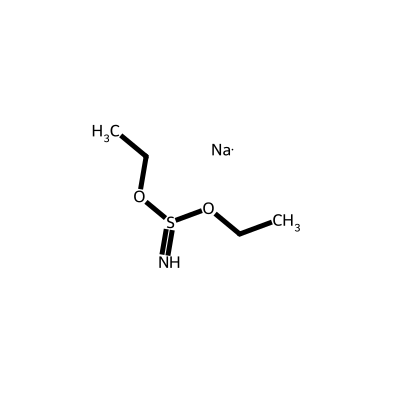 CCOS(=N)OCC.[Na]